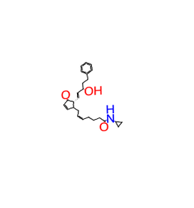 O=C(CCC/C=C\CC1C=CC(=O)[C@@H]1/C=C/[C@@H](O)CCc1ccccc1)NC1CC1